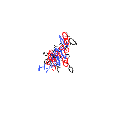 CCC(C)[C@@H](C(=O)N[C@@H](N)C(=O)N(C)C(Cc1ccccc1)C(=O)N(C)[C@H](C(=O)NC(CC(=O)OCc1ccccc1)C(=O)N1CCCCC1)C(C)C)N(C)C(=O)CN(C)C(=O)[C@@H](NC(=O)[C@H](CC(C)C)N(C)C(=O)C(CC(C)C)NC(=O)[C@H](Cc1ccccc1)N(C)C(=O)C(C)N(C)C(=O)OC(C)(C)C)C(C)OCc1ccccc1